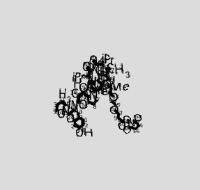 CC[C@H](C)[C@@H]([C@@H](CC(=O)N1CCC[C@H]1[C@H](OC)[C@@H](C)C(=O)N[C@@H](Cc1ccc(O)cc1)C(=O)N1CCCCO1)OC)N(C)[C@H](C(=O)NC(=O)[C@H](C(C)C)N(C)CCOCCOCCOCCC(=O)ON1C(=O)CCC1=O)C(C)C